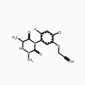 C#CCOc1cc(N2C(=O)C(C)NN(C)C2=O)c(F)cc1Cl